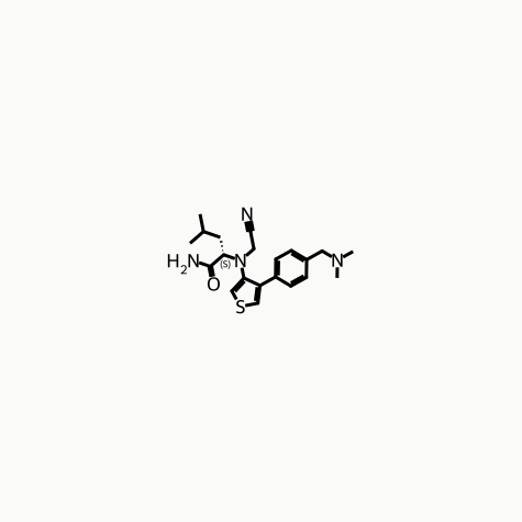 CC(C)C[C@@H](C(N)=O)N(CC#N)c1cscc1-c1ccc(CN(C)C)cc1